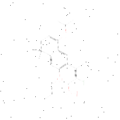 CCCOc1cc2c(cc1/C(C)=C(/F)CO)C(OC(C)C)=CCC2(C)C